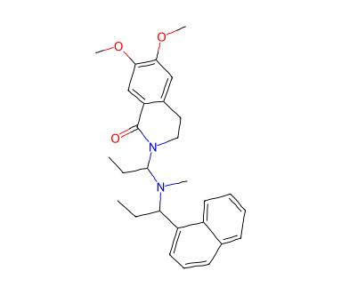 CCC(c1cccc2ccccc12)N(C)C(CC)N1CCc2cc(OC)c(OC)cc2C1=O